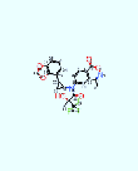 Cc1noc(=O)c2ccc(N(C(=O)C(C)(O)C(F)(F)F)C3CC3c3cccc4c3OCO4)cc12